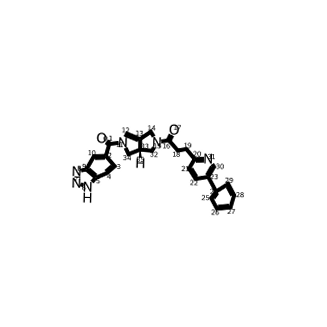 O=C(c1ccc2[nH]nnc2c1)N1C=C2CN(C(=O)CCc3ccc(-c4ccccc4)cn3)C[C@@H]2C1